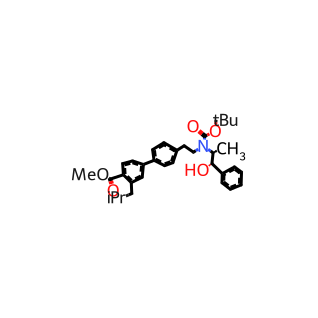 COC(=O)c1ccc(-c2ccc(CCN(C(=O)OC(C)(C)C)[C@@H](C)[C@@H](O)c3ccccc3)cc2)cc1CC(C)C